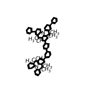 CC1(C)c2ccccc2N2c3ccccc3C(C)(C)c3cc(-c4cccc(-c5ccc(-c6cc7c8c(c6)C(C)(C)c6cc(-c9ccccc9)ccc6N8c6ccc(-c8ccccc8)cc6C7(C)C)cc5)c4)cc1c32